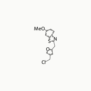 COc1ccc2nc(Cc3cc(CCl)co3)sc2c1